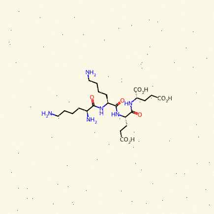 NCCCC[C@H](NC(=O)[C@@H](N)CCCCN)C(=O)N[C@@H](CCC(=O)O)C(=O)N[C@@H](CCC(=O)O)C(=O)O